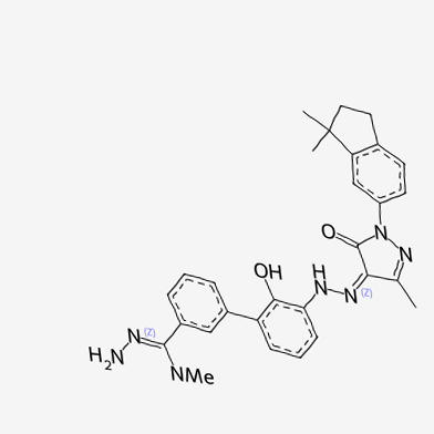 CN/C(=N\N)c1cccc(-c2cccc(N/N=C3\C(=O)N(c4ccc5c(c4)C(C)(C)CC5)N=C3C)c2O)c1